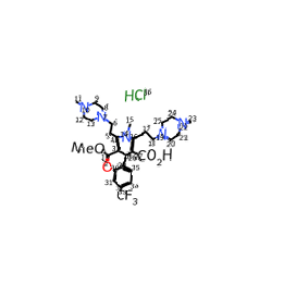 COC(=O)C1=C(CCN2CCN(C)CC2)N(C)C(CCN2CCN(C)CC2)=C(C(=O)O)C1c1ccc(C(F)(F)F)cc1.Cl